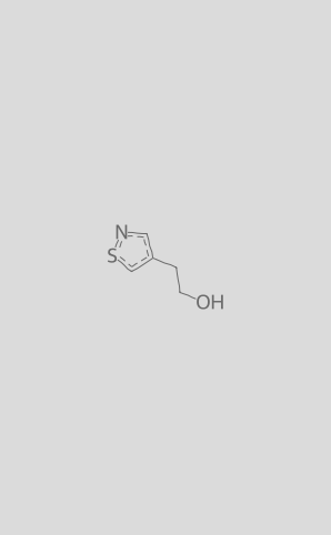 OCCc1cnsc1